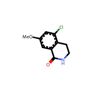 COc1cc(Cl)c2c(c1)C(=O)NCC2